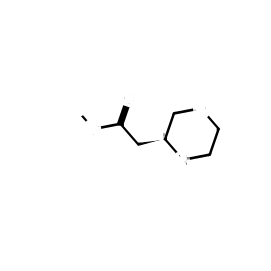 COC(=O)C[C@H]1COCCN1